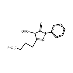 CCOC(=O)CCCC1=NN(c2ccccc2)C(=O)C1C=O